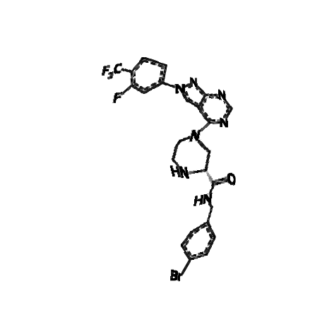 O=C(NCc1ccc(Br)cc1)[C@H]1CN(c2ncnc3nn(-c4ccc(C(F)(F)F)c(F)c4)cc23)CCN1